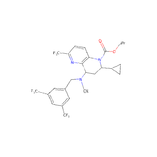 CC(C)OC(=O)N1c2ccc(C(F)(F)F)nc2C(N(C#N)Cc2cc(C(F)(F)F)cc(C(F)(F)F)c2)CC1C1CC1